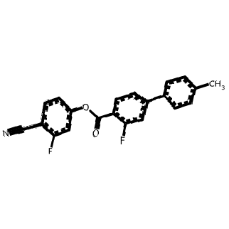 Cc1ccc(-c2ccc(C(=O)Oc3ccc(C#N)c(F)c3)c(F)c2)cc1